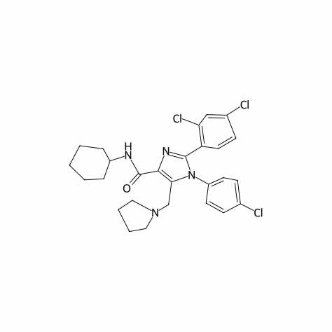 O=C(NC1CCCCC1)c1nc(-c2ccc(Cl)cc2Cl)n(-c2ccc(Cl)cc2)c1CN1CCCC1